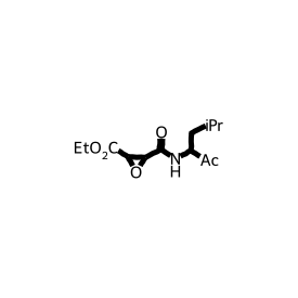 CCOC(=O)C1OC1C(=O)NC(CC(C)C)C(C)=O